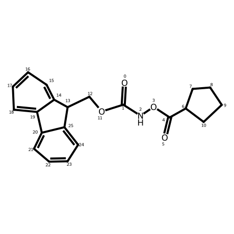 O=C(NOC(=O)C1CCCC1)OCC1c2ccccc2-c2ccccc21